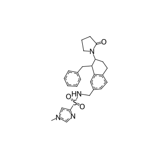 Cn1cnc(S(=O)(=O)NCc2ccc3c(c2)C(Cc2ccccc2)C(N2CCCC2=O)CC3)c1